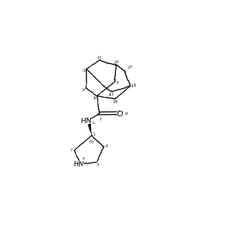 O=C(N[C@H]1CCNC1)C12CC3CC(CC(C3)C1)C2